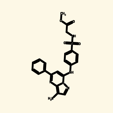 Bc1cnn2c(Nc3ccc(S(=O)(=O)NCC(=O)OC)cc3)cc(-c3ccccc3)nc12